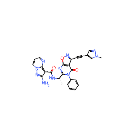 C[C@H](NC(=O)c1c(N)nn2cccnc12)c1nc2onc(C#Cc3cnn(C)c3)c2c(=O)n1-c1ccccc1